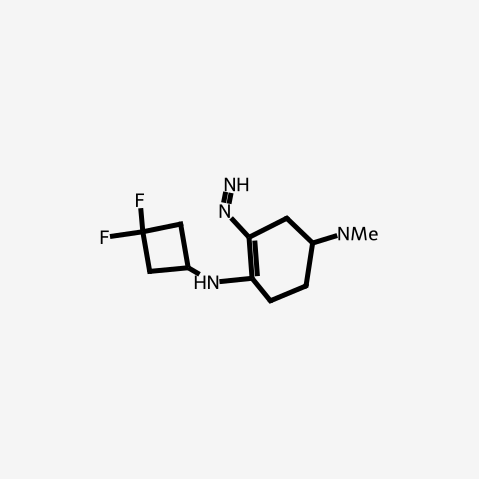 CNC1CCC(NC2CC(F)(F)C2)=C(N=N)C1